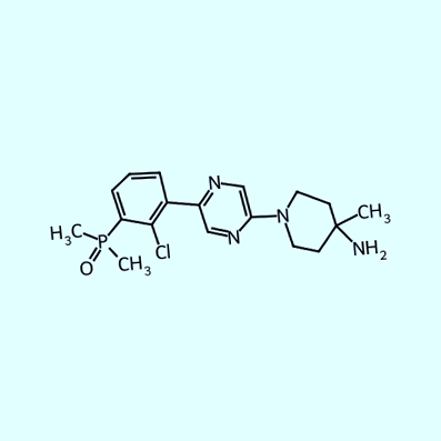 CC1(N)CCN(c2cnc(-c3cccc(P(C)(C)=O)c3Cl)cn2)CC1